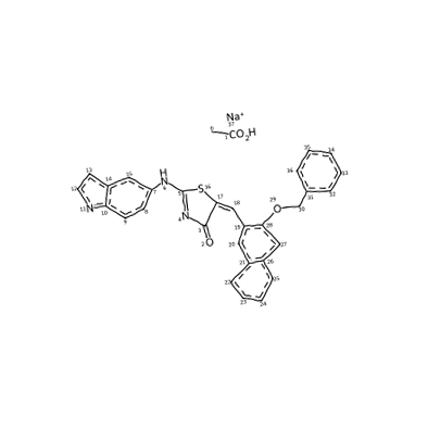 CC(=O)O.O=C1N=C(Nc2ccc3[n-]ccc3c2)S/C1=C/c1cc2ccccc2cc1OCc1ccccc1.[Na+]